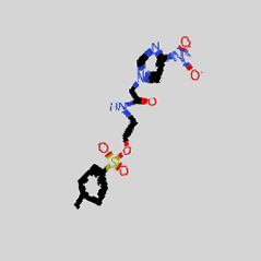 Cc1ccc(S(=O)(=O)OCCNC(=O)Cn2cnc([N+](=O)[O-])c2)cc1